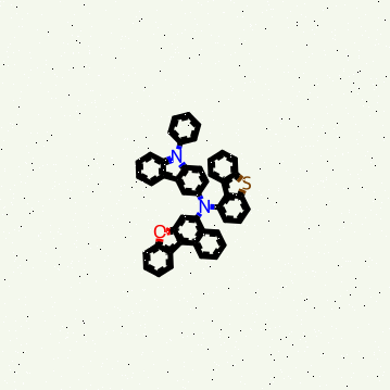 c1ccc(-n2c3ccccc3c3cc(N(c4cc5oc6ccccc6c5c5ccccc45)c4cccc5sc6ccccc6c45)ccc32)cc1